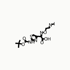 CC(C)(C)OC(=O)Nc1nc(/C(=N/OC/C=N/I)C(=O)O)cs1